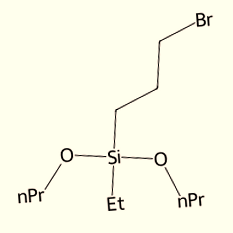 CCCO[Si](CC)(CCCBr)OCCC